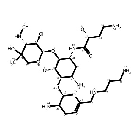 CN[C@@H]1[C@@H](O)[C@@H](O[C@@H]2[C@@H](O)[C@H](O[C@H]3OC(CNCCCN)=CC[C@H]3N)[C@@H](N)C[C@H]2NC(=O)[C@H](O)CCN)OC[C@]1(C)O